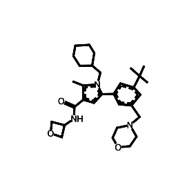 Cc1c(C(=O)NC2COC2)cc(-c2cc(CN3CCOCC3)cc(C(C)(C)C)c2)n1CC1CCCCC1